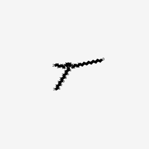 CCCCCCCCCCCCCC[n+]1ccn(CCCCC)c1CCCCCCCCCCCC